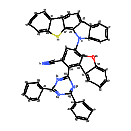 N#Cc1cc(-n2c3ccccc3c3ccc4c5ccccc5sc4c32)c2oc3ccccc3c2c1-c1nc(-c2ccccc2)nc(-c2ccccc2)n1